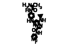 C[C@H](N)C(=O)NC1CCC(Nc2cc(NC3CC3)c3ncc(C(=O)Nc4ccnc(F)c4)n3n2)CC1